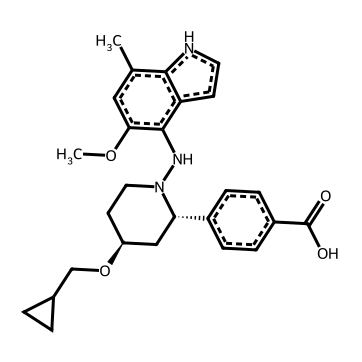 COc1cc(C)c2[nH]ccc2c1NN1CC[C@H](OCC2CC2)C[C@H]1c1ccc(C(=O)O)cc1